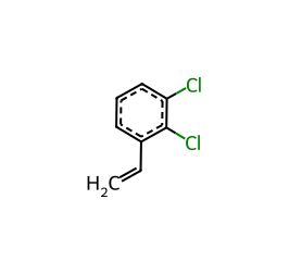 C=Cc1cccc(Cl)c1Cl